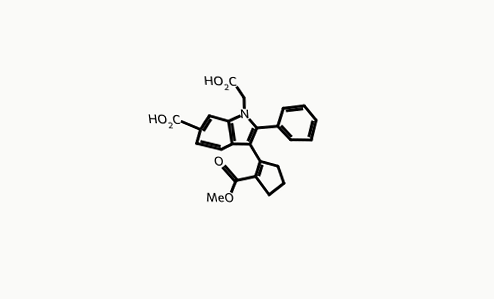 COC(=O)C1=C(c2c(-c3ccccc3)n(CC(=O)O)c3cc(C(=O)O)ccc23)CCC1